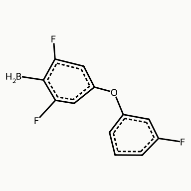 Bc1c(F)cc(Oc2cccc(F)c2)cc1F